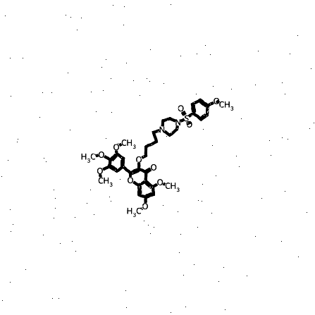 COc1ccc(S(=O)(=O)N2CCN(CCCCOc3c(-c4cc(OC)c(OC)c(OC)c4)oc4cc(OC)cc(OC)c4c3=O)CC2)cc1